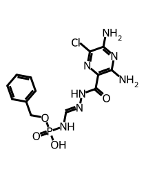 Nc1nc(N)c(C(=O)NN=CNP(=O)(O)OCc2ccccc2)nc1Cl